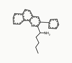 CCCCC(N)c1nc2c(ccc3ccccc32)cc1-c1ccccc1